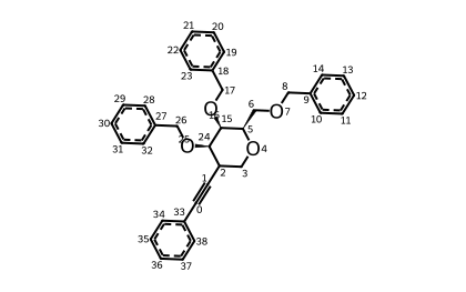 C(#CC1CO[C@H](COCc2ccccc2)[C@H](OCc2ccccc2)[C@@H]1OCc1ccccc1)c1ccccc1